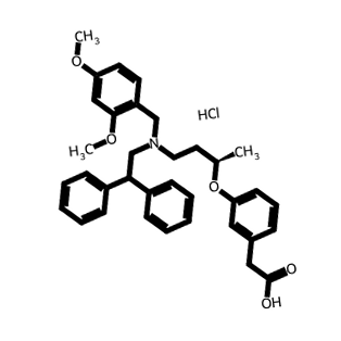 COc1ccc(CN(CC[C@@H](C)Oc2cccc(CC(=O)O)c2)CC(c2ccccc2)c2ccccc2)c(OC)c1.Cl